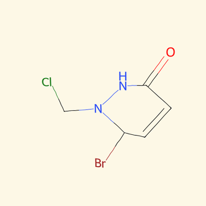 O=C1C=CC(Br)N(CCl)N1